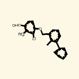 Cc1c(COc2ccc(C=O)c(O)c2Cl)cccc1-c1ccccc1